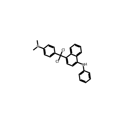 CN(C)c1ccc(C(Cl)(Cl)c2ccc(Nc3ccccc3)c3ccccc23)cc1